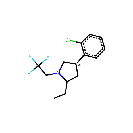 CCC1C[C@H](c2ccccc2Cl)CN1CC(F)(F)F